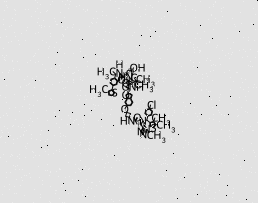 Cc1ccsc1-c1ccc(C(C)NC(=O)[C@@H]2C[C@@H](O)CN2C(=O)[C@@H](NC(=O)c2cc3ccc(O[C@H]4C[C@@H](NC(=O)C[C@@H]5N=C(c6ccc(Cl)cc6)c6c(sc(C)c6C)-n6c(C)nnc65)C4)cc3o2)C(C)(C)C)cc1